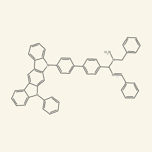 NN(Cc1ccccc1)C(/N=C/c1ccccc1)c1ccc(-c2ccc(-n3c4ccccc4c4cc5c6ccccc6n(-c6ccccc6)c5cc43)cc2)cc1